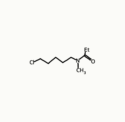 CCC(=O)N(C)CCCCCCl